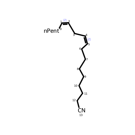 CCCCC/C=C\C/C=C\CCCCCCCC#N